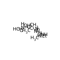 CCNc1nc(C)cc(-c2nc(-c3cc(C)c(OCC(O)CNC(=O)CO)c(C)c3)no2)n1